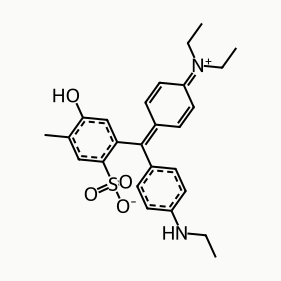 CCNc1ccc(C(=C2C=CC(=[N+](CC)CC)C=C2)c2cc(O)c(C)cc2S(=O)(=O)[O-])cc1